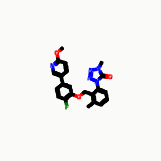 COc1ccc(-c2ccc(F)c(OCc3c(C)cccc3-n3nnn(C)c3=O)c2)cn1